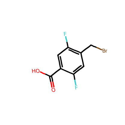 O=C(O)c1cc(F)c(CBr)cc1F